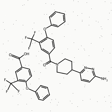 Nc1ccc(C2CCN(C(=O)c3ccc(Oc4ccccc4)c(C(F)(F)F)c3)CC2)nn1.O=C(O)c1ccc(Oc2ccccc2)c(C(F)(F)F)c1